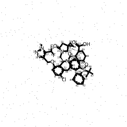 Cn1nnc(COc2ccc(Cl)c3c2[C@@H](CN2CC4(CC4)CC2=O)N(C(=O)[C@@H]2C[C@H](O[Si](c4ccccc4)(c4ccccc4)C(C)(C)C)CC[C@]2(C)C(=O)O)CC3)c1C(F)F